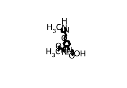 CC(=O)C(=N)c1cc(OCc2cc(C)[nH]n2)ccc1NCC(=O)O